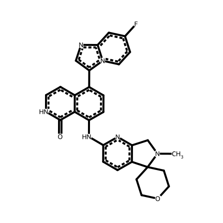 CN1Cc2nc(Nc3ccc(-c4cnc5cc(F)ccn45)c4cc[nH]c(=O)c34)ccc2C12CCOCC2